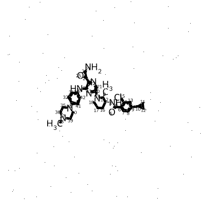 C[C@@H]1[C@H](NC(=O)c2ccc(C3CC3)cc2Cl)CCCN1c1cnc(C2OC2N)c(Nc2ccc(N3CCN(C)CC3)cc2)n1